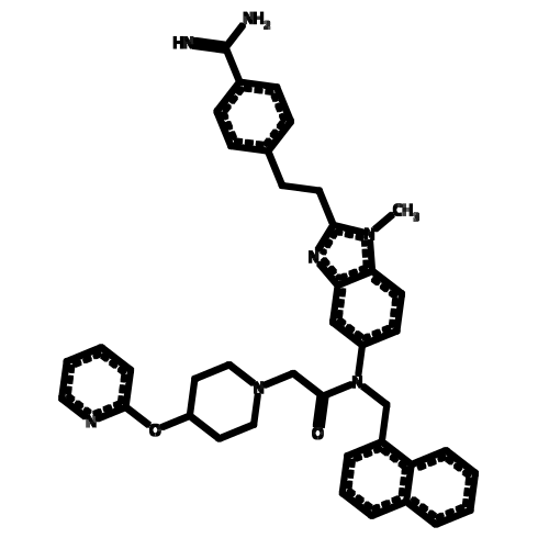 Cn1c(CCc2ccc(C(=N)N)cc2)nc2cc(N(Cc3cccc4ccccc34)C(=O)CN3CCC(Oc4ccccn4)CC3)ccc21